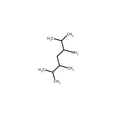 CC(C)C(C)CC(N)C(C)C